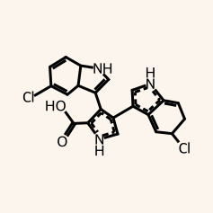 O=C(O)c1[nH]cc(-c2c[nH]c3c2=CC(Cl)CC=3)c1C1=CNC2C=CC(Cl)=CC12